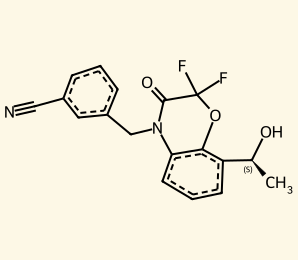 C[C@H](O)c1cccc2c1OC(F)(F)C(=O)N2Cc1cccc(C#N)c1